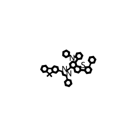 CC1(C)c2ccccc2-c2ccc(-c3cc(-c4ccccc4)nc(-c4cc5c(c6ccccc6n5-c5ccccc5)c5c4ccc4c6cccc(-c7ccccc7)c6sc45)n3)cc21